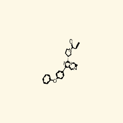 C=CC(=O)N1CC[C@@H](c2nc(-c3ccc(Oc4ccccc4)cc3)c3cnccn23)C1